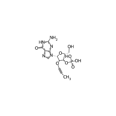 CC#CO[C@@H]1[C@H](OP(=O)(O)O)[C@@H](CO)O[C@H]1n1cnc2c(=O)[nH]c(N)nc21